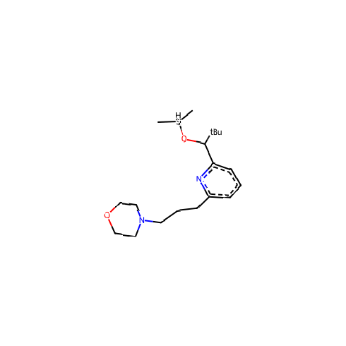 C[SiH](C)OC(c1cccc(CCCN2CCOCC2)n1)C(C)(C)C